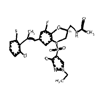 CCn1cc(S(=O)(=O)N2C[C@H](CNC(C)=O)Oc3c(F)cc(/C=C(\C)c4c(F)cccc4Cl)cc32)c(Cl)n1